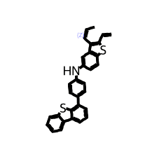 C=Cc1sc2ccc(Nc3ccc(-c4cccc5c4sc4ccccc45)cc3)cc2c1/C=C\C